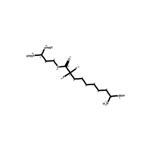 CCCCCCCCCC(N)CCCCCCC(F)(F)C(=O)OCCC(CCCCCCC)CCCCCCC